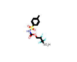 Cc1ccc(S(=O)(=O)NC(=O)OCC(F)C(F)(F)S(=O)(=O)O)cc1